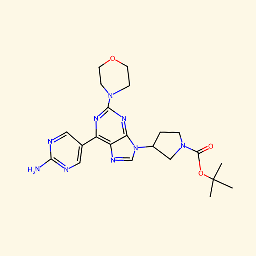 CC(C)(C)OC(=O)N1CCC(n2cnc3c(-c4cnc(N)nc4)nc(N4CCOCC4)nc32)C1